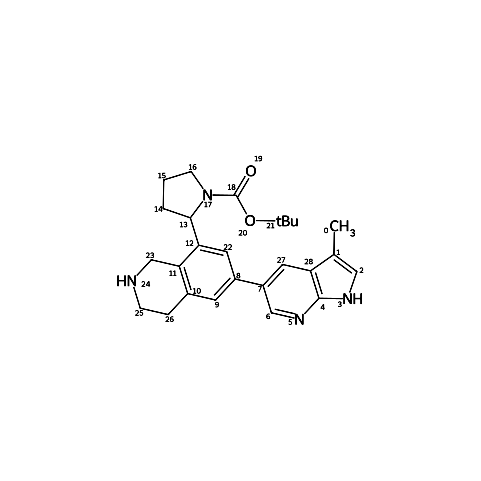 Cc1c[nH]c2ncc(-c3cc4c(c(C5CCCN5C(=O)OC(C)(C)C)c3)CNCC4)cc12